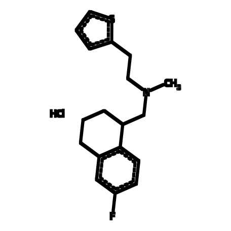 CN(CCc1cccs1)CC1CCCc2cc(F)ccc21.Cl